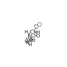 CCC(Nc1cc(F)c(S(=O)(=O)Nc2nccs2)cc1Cl)c1ccc2c(c1)CCCC2